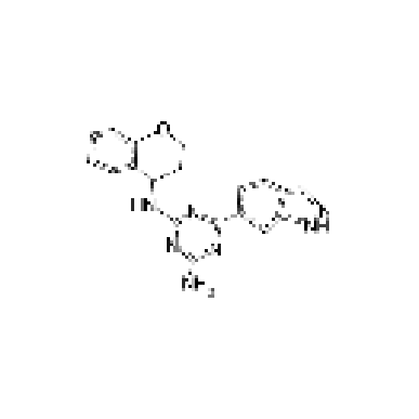 Nc1nc(NC2CCOc3ccccc32)nc(-c2ccc3cn[nH]c3c2)n1